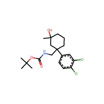 CC1(O)CCCC(CNC(=O)OC(C)(C)C)(c2ccc(Cl)c(Cl)c2)C1